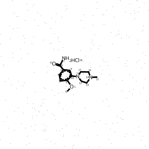 COc1ccc(C(N)=O)cc1N1CCN(C)CC1.Cl